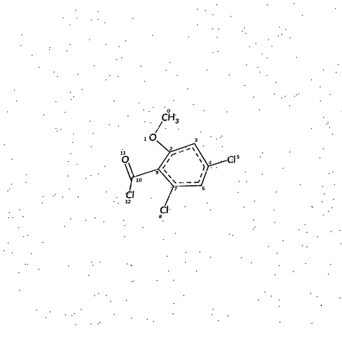 COc1cc(Cl)cc(Cl)c1C(=O)Cl